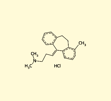 Cc1cccc2c1CCc1ccccc1C2=CCCN(C)C.Cl